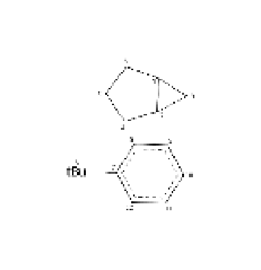 C1CC2CC2C1.CC(C)(C)c1ccccc1